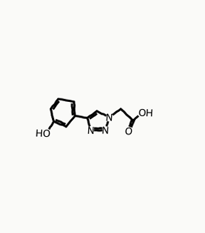 O=C(O)Cn1cc(-c2cccc(O)c2)nn1